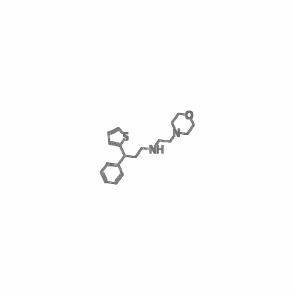 c1ccc(C(CCNCCN2CCOCC2)c2cccs2)cc1